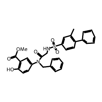 COC(=O)c1cc(N(Cc2ccccc2)C(=O)CNS(=O)(=O)c2ccc(-c3ccccc3)c(C)c2)ccc1O